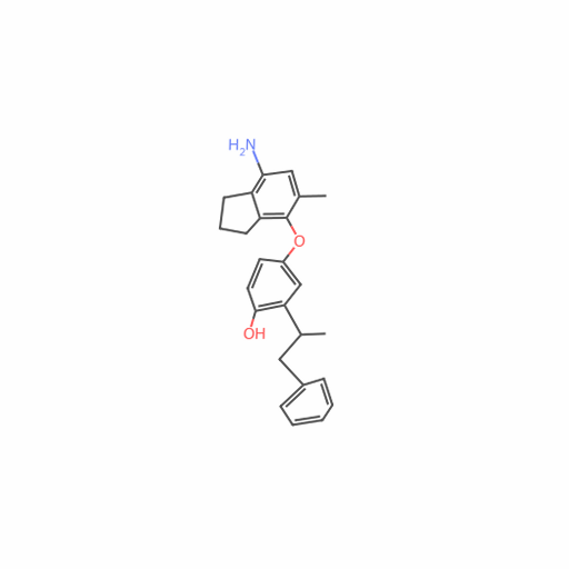 Cc1cc(N)c2c(c1Oc1ccc(O)c(C(C)Cc3ccccc3)c1)CCC2